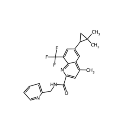 Cc1cc(C(=O)NCc2ccccn2)nc2c(C(F)(F)F)cc(C3CC3(C)C)cc12